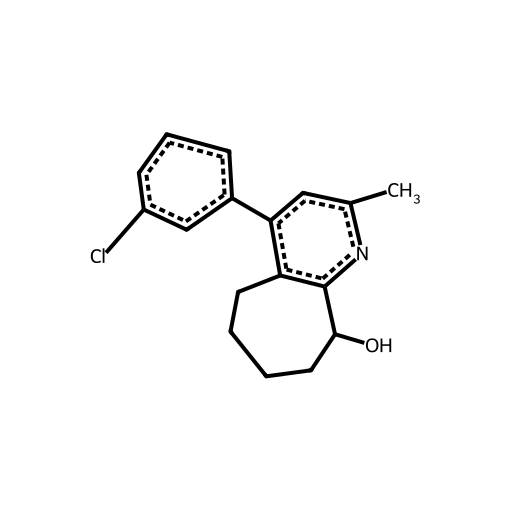 Cc1cc(-c2cccc(Cl)c2)c2c(n1)C(O)CCCC2